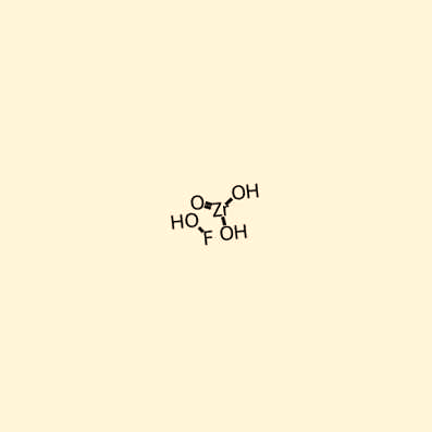 OF.[O]=[Zr]([OH])[OH]